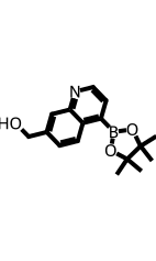 CC1(C)OB(c2ccnc3cc(CO)ccc23)OC1(C)C